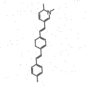 Cc1ccc(/C=C/C2=CC=C(/C=C/C3=CN(C)C(C)C=C3)CC2)cc1